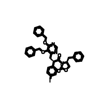 O=C1OC[C@H](Cc2ccccc2)N1C(=O)[C@@H](Cc1ncnc(OCc2ccccc2)c1OCc1ccccc1)c1ccc(I)cc1